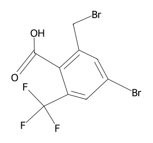 O=C(O)c1c(CBr)cc(Br)cc1C(F)(F)F